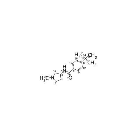 CN1CCC(NC(=O)c2ccc(C(C)(C)C)cc2)C1